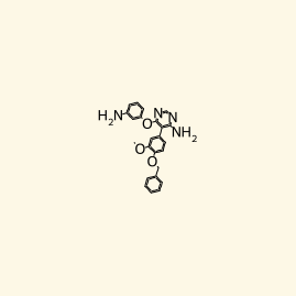 COc1cc(-c2c(N)ncnc2Oc2cccc(N)c2)ccc1OCc1ccccc1